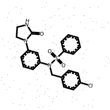 O=C1NCCN1c1cccc(N(Cc2ccc(Cl)cc2)S(=O)(=O)c2ccccc2)c1